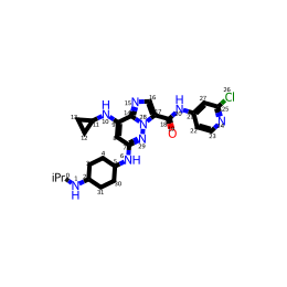 CC(C)NC1CCC(Nc2cc(NC3CC3)c3ncc(C(=O)Nc4ccnc(Cl)c4)n3n2)CC1